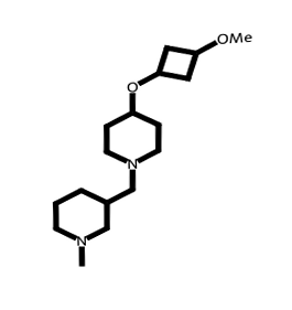 COC1CC(OC2CCN(CC3CCCN(C)C3)CC2)C1